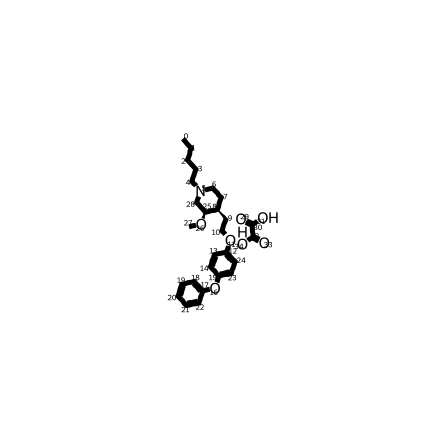 CCCCCN1CC[C@@H](CCOc2ccc(Oc3ccccc3)cc2)[C@@H](OC)C1.O=C(O)C(=O)O